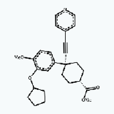 COc1ccc([C@]2(C#Cc3ccncc3)CC[C@@H](C(=O)OC)CC2)cc1OC1CCCC1